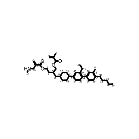 C=C(C)C(=O)OCC(CCOC(=O)C(=C)CNC)CC1CCC(c2ccc(-c3ccc(CCCCC)c(C)c3)c(CC)c2)CC1